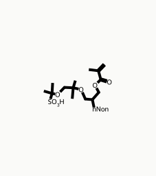 C=C(C)C(=O)OCC(CCCCCCCCC)COC(C)(C)COC(C)(C)S(=O)(=O)O